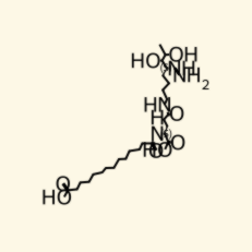 CC(O)C(O)[C@H](CCCCNC(=O)CC[C@H](NC(=O)CCCCCCCCCCCCC(=O)O)C(=O)O)NN